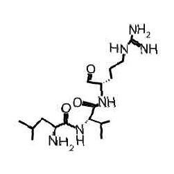 CC(C)C[C@H](N)C(=O)N[C@H](C(=O)N[C@H](C=O)CCCNC(=N)N)C(C)C